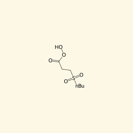 CCCCS(=O)(=O)CCC(=O)OO